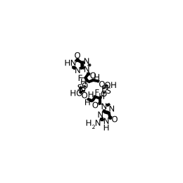 Nc1nc2c(ncn2[C@@H]2O[C@@H]3COP(O)(=S)O[C@H]4[C@H](F)C(n5cnc6c(=O)[nH]cnc65)O[C@@H]4COP(O)(=S)O[C@@H]2[C@@H]3F)c(=O)[nH]1